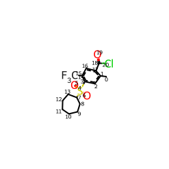 Cc1cc(S(=O)(=O)C2CCCCCC2)c(C(F)(F)F)cc1C(=O)Cl